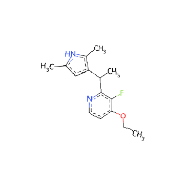 CCOc1ccnc(C(C)c2cc(C)[nH]c2C)c1F